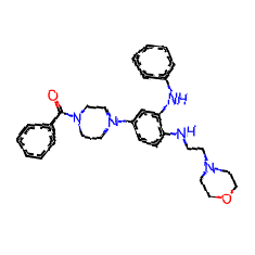 O=C(c1ccccc1)N1CCN(c2ccc(NCCN3CCOCC3)c(Nc3ccccc3)c2)CC1